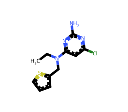 CCN(Cc1cccs1)c1cc(Cl)nc(N)n1